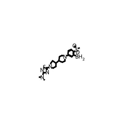 Bc1cc(N2CCC(C3CCN(c4nc(N(C)C)ns4)CC3)CC2)ccc1S(C)(=O)=O